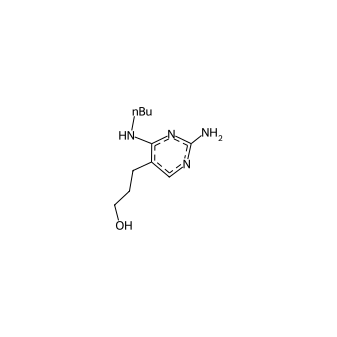 CCCCNc1nc(N)ncc1CCCO